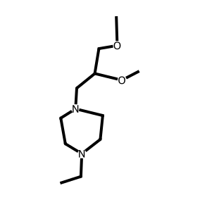 CCN1CCN(CC(COC)OC)CC1